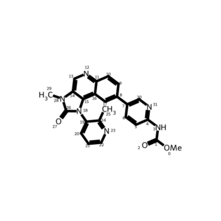 COC(=O)Nc1ccc(-c2ccc3ncc4c(c3c2)n(-c2cccnc2C)c(=O)n4C)cn1